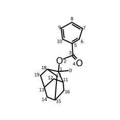 CC1(OC(=O)c2ccccc2)C2CC3CC(C2)CC1C3